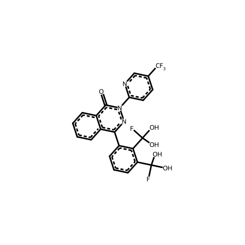 O=c1c2ccccc2c(-c2cccc(C(O)(O)F)c2C(O)(O)F)nn1-c1ccc(C(F)(F)F)cn1